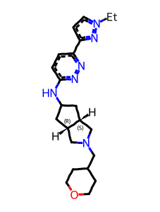 CCn1ccc(-c2ccc(NC3C[C@@H]4CN(CC5CCOCC5)C[C@@H]4C3)nn2)n1